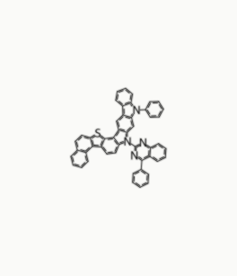 c1ccc(-c2nc(-n3c4cc5c(cc4c4c6sc7ccc8ccccc8c7c6ccc43)c3ccccc3n5-c3ccccc3)nc3ccccc23)cc1